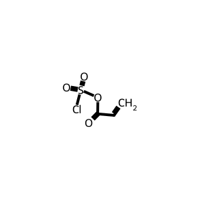 C=CC(=O)OS(=O)(=O)Cl